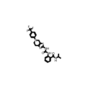 CC(C)NC(=O)c1ccccc1NC(=O)Nc1nc2c(s1)CN(c1ccc(C(F)(F)F)cc1)CC2